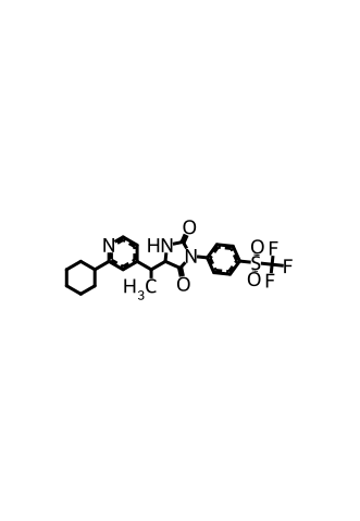 CC(c1ccnc(C2CCCCC2)c1)C1NC(=O)N(c2ccc(S(=O)(=O)C(F)(F)F)cc2)C1=O